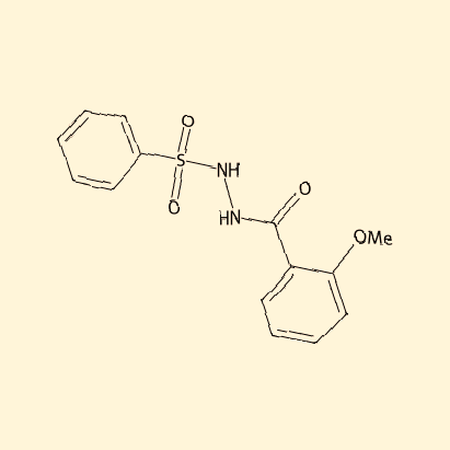 COc1ccccc1C(=O)NNS(=O)(=O)c1ccccc1